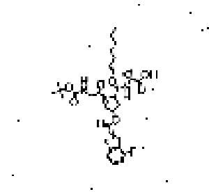 CCCCC/C=C\[C@@H]1C[C@]1(NC(=O)[C@@H]1C[C@@H](OC(=O)N2Cc3cccc(F)c3C2)CN1C(=O)CNC(=O)OC(C)(C)C)C(=O)O